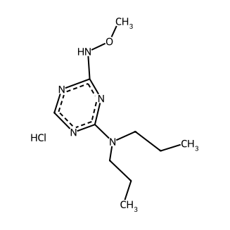 CCCN(CCC)c1ncnc(NOC)n1.Cl